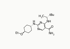 CCO[C@H]1CC[C@H](Nc2ncc(C(N)=O)c(N[C@H](C)C(C)(C)C)n2)CC1